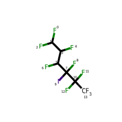 FC(F)C(F)C(F)C(F)(I)C(F)(F)C(F)(F)F